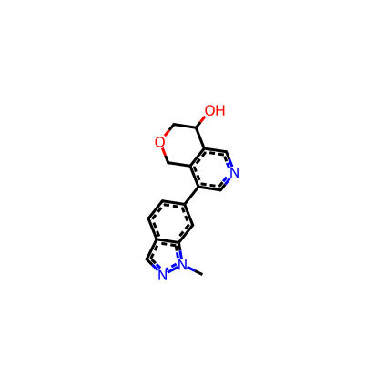 Cn1ncc2ccc(-c3cncc4c3COCC4O)cc21